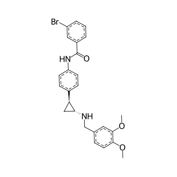 COc1ccc(CN[C@@H]2C[C@H]2c2ccc(NC(=O)c3cccc(Br)c3)cc2)cc1OC